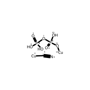 N#[C][Cu].O=P(O)(O)OP(=O)(O)[O][Cu]